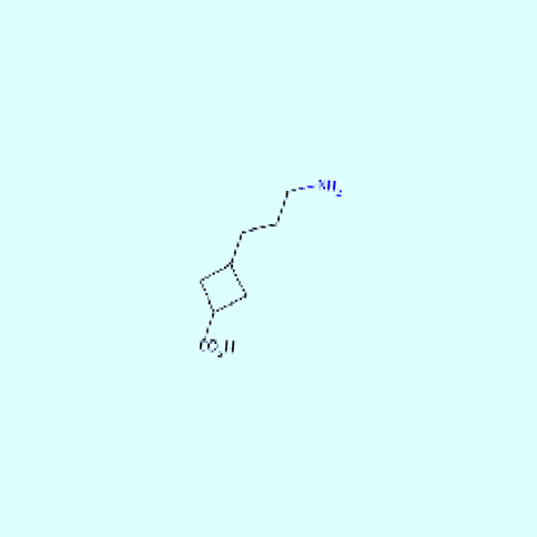 NCCCC1CC(C(=O)O)C1